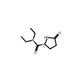 CCN(CC)C(=O)[C@@H]1CCC(=O)N1